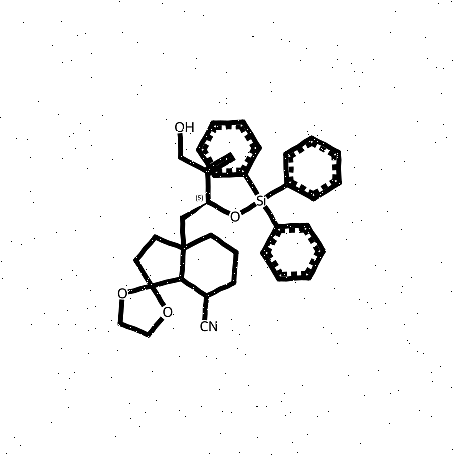 C=C(CO)[C@H](CC12CCCC(C#N)C1C1(CC2)OCCO1)O[Si](c1ccccc1)(c1ccccc1)c1ccccc1